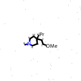 COCCC1(C(C)C)CCN(C)CC1